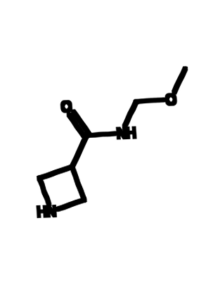 COCNC(=O)C1CNC1